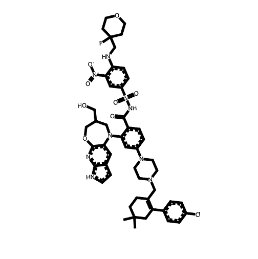 CC1(C)CCC(CN2CCN(c3ccc(C(=O)NS(=O)(=O)c4ccc(NCC5(F)CCOCC5)c([N+](=O)[O-])c4)c(N4CC(CO)COc5nc6[nH]ccc6cc54)c3)CC2)=C(c2ccc(Cl)cc2)C1